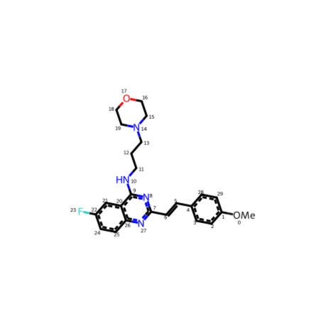 COc1ccc(/C=C/c2nc(NCCCN3CCOCC3)c3cc(F)ccc3n2)cc1